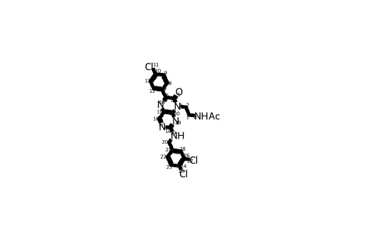 CC(=O)NCCn1c(=O)c(-c2ccc(Cl)cc2)nc2cnc(NCc3ccc(Cl)c(Cl)c3)nc21